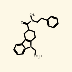 CN(CCc1ccccc1)C(=O)C1CCc2c(c3ccccc3n2CC(=O)O)C1